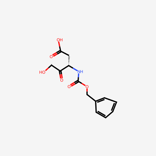 O=C(O)C[C@H](NC(=O)OCc1ccccc1)C(=O)[CH]O